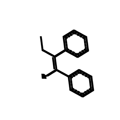 CCC(=C(Br)c1ccccc1)c1ccccc1